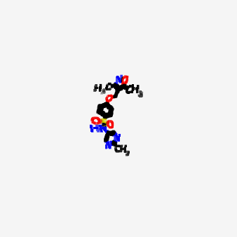 Cc1ncc(NS(=O)(=O)c2ccc(OCc3c(C)noc3C)cc2)cn1